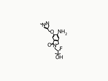 Cn1cc(COc2cc3c(cc2N)CN(C[C@@H](F)C(C)(C)O)C3=O)cn1